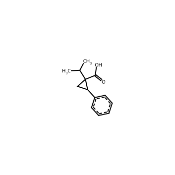 CC(C)C1(C(=O)O)CC1c1ccccc1